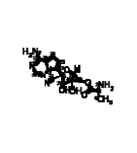 C[C@@H](N)C(=O)OC1[C@H]2O[C@@](C#N)(c3ccc4c(N)ncnn34)[C@H](O)[C@@]12O